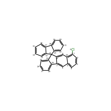 Clc1cccc2cc3c(cc12)C1(c2ccccc2-c2ccccc21)c1ccccc1-3